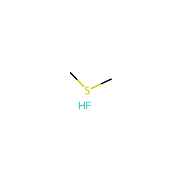 CSC.F